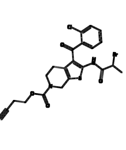 C#CCCOC(=O)N1CCc2c(sc(NC(=O)C(C)Br)c2C(=O)c2ccccc2Cl)C1